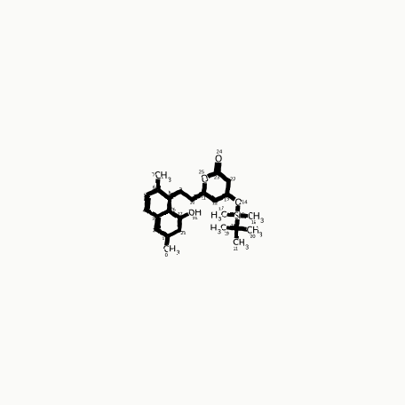 CC1C=C2C=CC(C)C(CCC3CC(O[Si](C)(C)C(C)(C)C)CC(=O)O3)C2C(O)C1